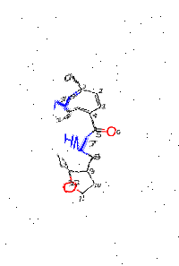 Cc1ccc(C(=O)NCC2CCOC2)cn1